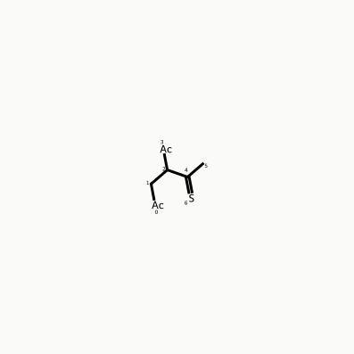 CC(=O)CC(C(C)=O)C(C)=S